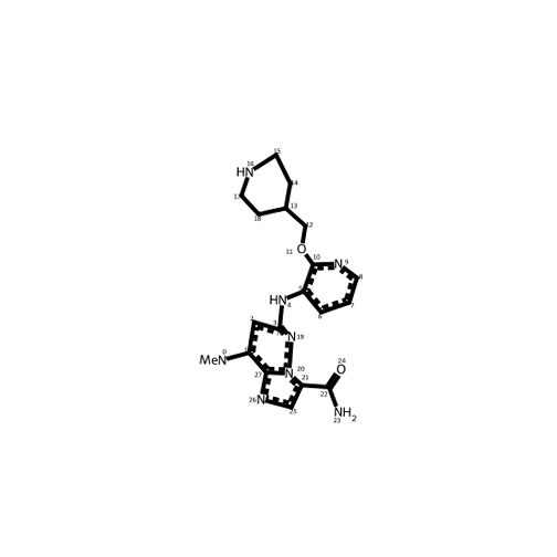 CNc1cc(Nc2cccnc2OCC2CCNCC2)nn2c(C(N)=O)cnc12